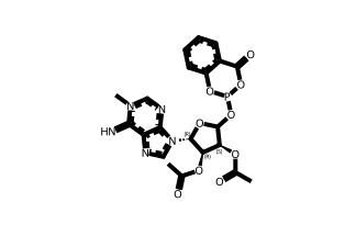 CC(=O)O[C@@H]1[C@H](OC(C)=O)C(OP2OC(=O)c3ccccc3O2)O[C@H]1n1cnc2c(=N)n(C)cnc21